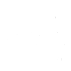 O=C(O)CCC(O)(CCC(=O)O)CC(=O)O